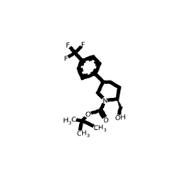 CC(C)(C)OC(=O)N1CC(c2ccc(C(F)(F)F)cc2)CC[C@H]1CO